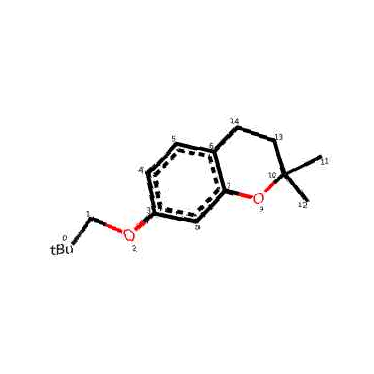 CC(C)(C)COc1ccc2c(c1)OC(C)(C)CC2